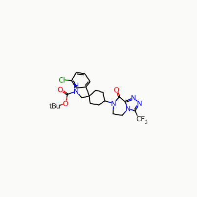 CC(C)(C)OC(=O)NCC1(c2cccc(Cl)c2)CCC(N2CCn3c(nnc3C(F)(F)F)C2=O)CC1